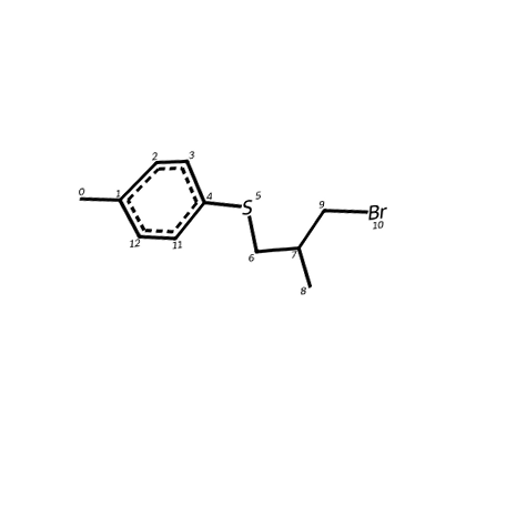 Cc1ccc(SCC(C)CBr)cc1